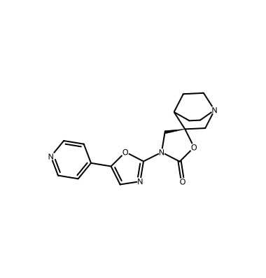 O=C1O[C@]2(CN3CCC2CC3)CN1c1ncc(-c2ccncc2)o1